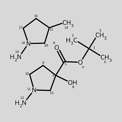 CC(C)(C)OC(=O)C1(O)CCN(N)C1.CC1CCN(N)C1